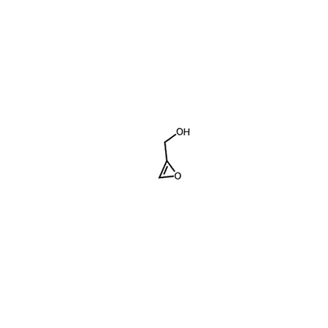 OCC1=CO1